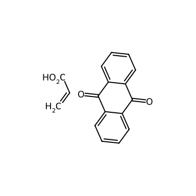 C=CC(=O)O.O=C1c2ccccc2C(=O)c2ccccc21